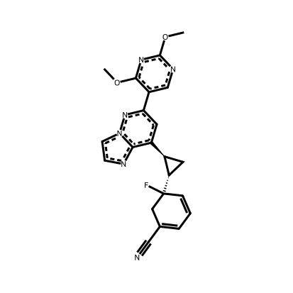 COc1ncc(-c2cc([C@H]3C[C@@H]3C3(F)C=CC=C(C#N)C3)c3nccn3n2)c(OC)n1